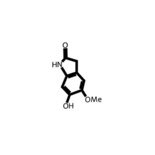 COc1cc2c(cc1O)NC(=O)C2